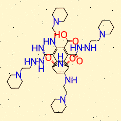 N=C(NNCCN1CCCCC1)c1c(NCCN2CCCCC2)c(C(=O)O)c(C(=O)NNCCN2CCCCC2)c2c3c(NCCN4CCCCC4)cc(c(=O)[nH]c3=O)c12